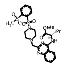 COC(=O)[C@@H](Nc1nc(CN2CCN(S(=O)(=O)c3ccccc3S(C)(=O)=O)CC2)nc2ccccc12)C(C)C